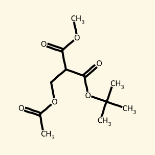 COC(=O)C(COC(C)=O)C(=O)OC(C)(C)C